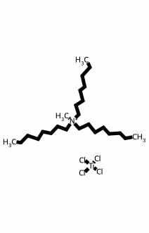 CCCCCCCC[N+](C)(CCCCCCCC)CCCCCCCC.[Cl][Ti]([Cl])([Cl])[Cl]